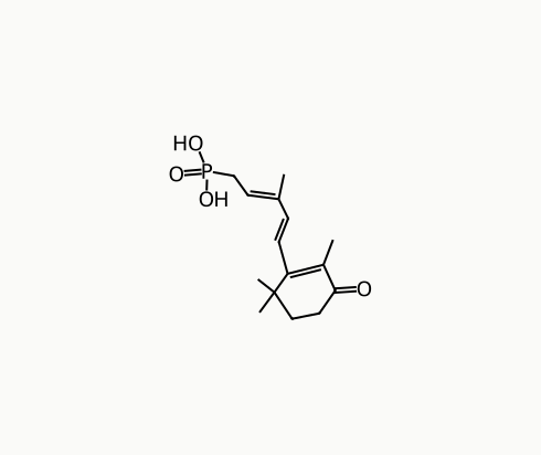 CC(C=CC1=C(C)C(=O)CCC1(C)C)=CCP(=O)(O)O